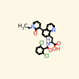 CCn1cccc(-c2ccc(CC(NC(=O)c3c(Cl)cccc3Cl)C(=O)O)c3ncccc23)c1=O